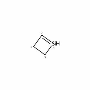 C1=[SiH]CC1